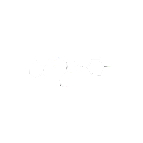 Cc1ccccc1S(=O)(=O)Nc1cc(-c2ccc(F)c(Cl)c2)sc1OC(=O)O